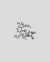 CC(C)c1cccc(C(C)C)c1OCc1c[nH]c(=S)[nH]1